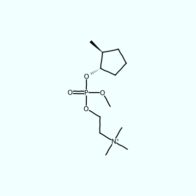 COP(=O)(OCC[N+](C)(C)C)O[C@H]1CCC[C@@H]1C